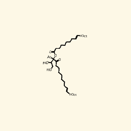 CCCCCCCCC=CCCCCCCCC(=O)OC(C(C)=O)(C(=O)CCCCCCCC=CCCCCCCCC)C(O)CO